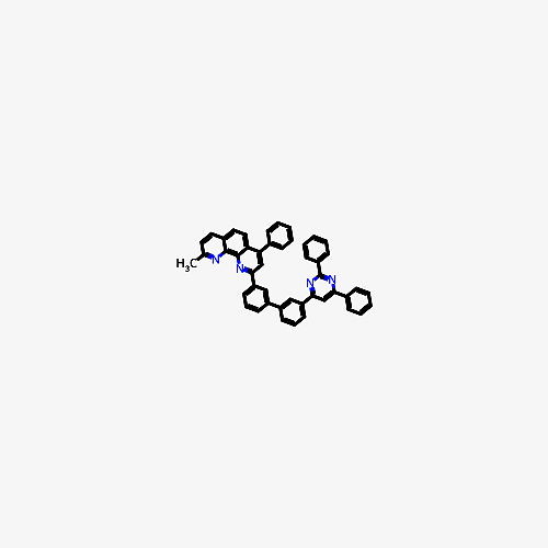 Cc1ccc2ccc3c(-c4ccccc4)cc(-c4cccc(-c5cccc(-c6cc(-c7ccccc7)nc(-c7ccccc7)n6)c5)c4)nc3c2n1